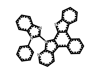 c1ccc(-n2c(-n3c4ncccc4c4c5ccccc5c5c6ccccc6sc5c43)nc3ccccc32)cc1